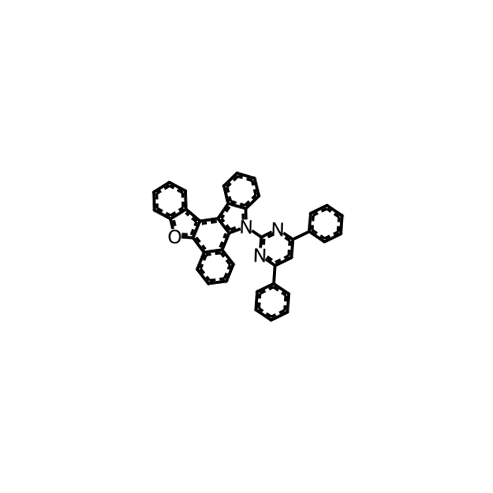 c1ccc(-c2cc(-c3ccccc3)nc(-n3c4ccccc4c4c5c6ccccc6oc5c5ccccc5c43)n2)cc1